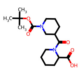 CC(C)(C)OC(=O)N1CCCC(C(=O)N2CCCCC2C(=O)O)C1